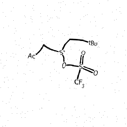 CC(=O)C[S+](CC(C)(C)C)OS(=O)(=O)C(F)(F)F